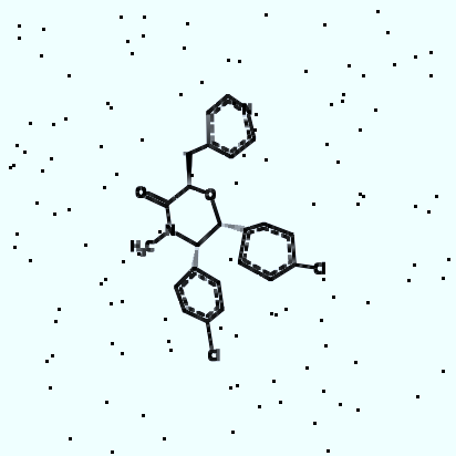 CN1C(=O)[C@@H]([CH]c2ccncc2)O[C@H](c2ccc(Cl)cc2)[C@@H]1c1ccc(Cl)cc1